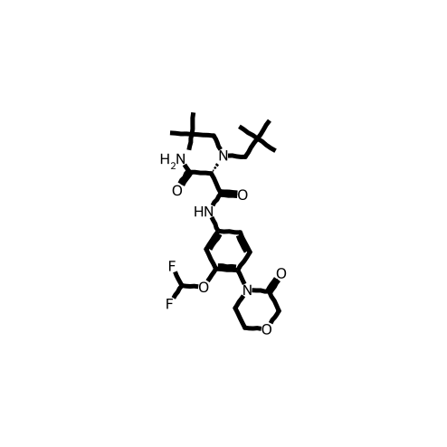 CC(C)(C)CN(CC(C)(C)C)[C@@H](C(N)=O)C(=O)Nc1ccc(N2CCOCC2=O)c(OC(F)F)c1